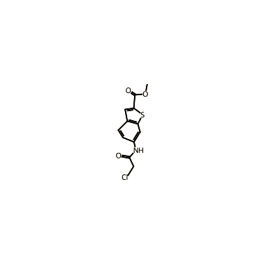 COC(=O)c1cc2ccc(NC(=O)CCl)cc2s1